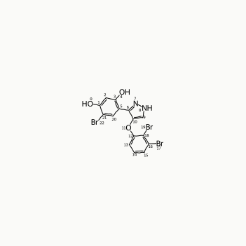 Oc1cc(O)c(-c2n[nH]cc2Oc2cccc(Br)c2Br)cc1Br